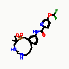 CC1(C)CNCNCCCc2ccc(NC(=O)c3ccc(OC(F)F)cn3)cc2CS1(=O)=O